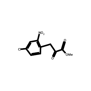 COC(=O)C(=O)Cc1ccc(Cl)cc1[N+](=O)[O-]